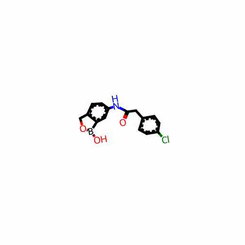 O=C(Cc1ccc(Cl)cc1)Nc1ccc2c(c1)B(O)OC2